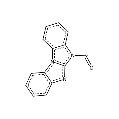 O=[C]n1c2ccccc2n2c3ccccc3nc12